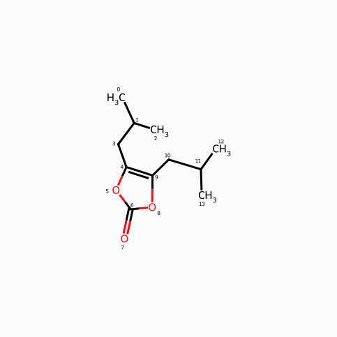 CC(C)Cc1oc(=O)oc1CC(C)C